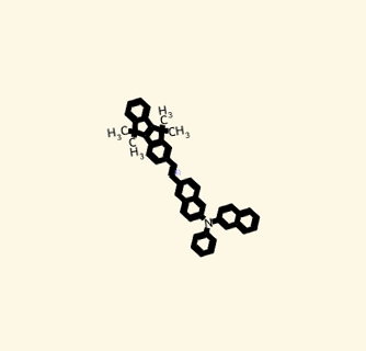 CC1(C)C2=C(c3ccccc31)C(C)(C)c1cc(/C=C/c3ccc4cc(N(c5ccccc5)c5ccc6ccccc6c5)ccc4c3)ccc12